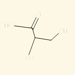 C[CH]C(C)C(=O)O